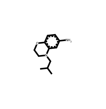 C[C](C)CN1CCOc2ccc(N)cc21